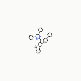 CC1(C)c2ccccc2-c2cc3c(cc21)C(c1nc(-c2ccccc2)cc(-c2ccccc2)n1)c1cc(-c2ccccc2)ccc1-3